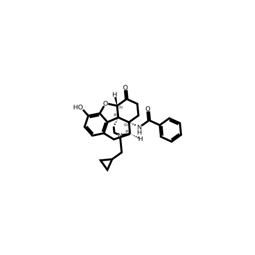 O=C(N[C@@]12CCC(=O)[C@H]3Oc4c(O)ccc5c4[C@@]31CCN(CC1CC1)[C@@H]2C5)c1ccccc1